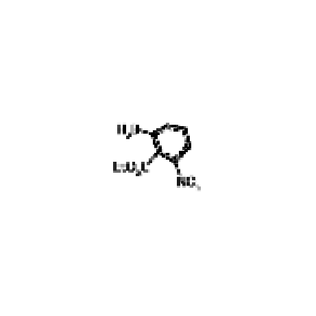 Bc1cccc([N+](=O)[O-])c1C(=O)OCC